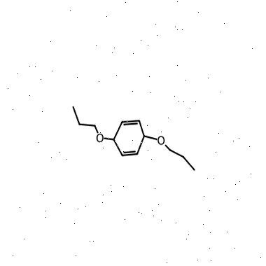 CCCOC1C=CC(OCCC)C=C1